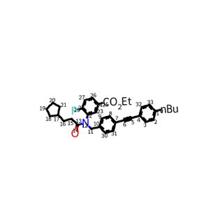 CCCCc1ccc(C#Cc2ccc(CN(C(=O)CCC3CCCC3)c3cc(C(=O)OCC)ccc3F)cc2)cc1